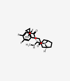 CN[C@H](Cc1cc(F)c(F)cc1F)C1CC2CC[C@@H](C1)N2C(=O)CNC(=O)C1(O)CC1